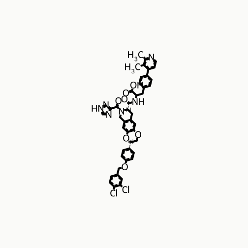 Cc1nccc(-c2ccc(CC(NC(=O)[C@@H]3Cc4cc5c(cc4CN3C(=O)c3nc[nH]n3)O[C@@H](c3ccc(OCc4ccc(Cl)c(Cl)c4)cc3)CO5)C(=O)O)cc2)c1C